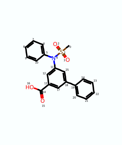 CS(=O)(=O)N(c1ccccc1)c1cc(C(=O)O)cc(-c2ccccc2)c1